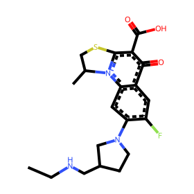 CCNCC1CCN(c2cc3c(cc2F)c(=O)c(C(=O)O)c2n3C(C)CS2)C1